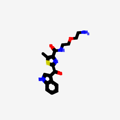 Cc1sc(C(=O)c2c[nH]c3ccccc23)nc1C(=O)NCCOCCN